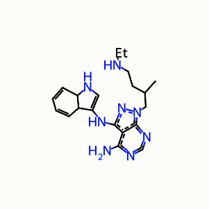 CCNCCC(C)Cn1nc(NC2=CNC3C=CC=CC23)c2c(N)ncnc21